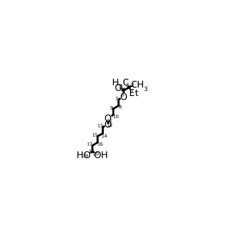 CCC(C)(C)C(=O)OCCCCOOCCCCCC(O)O